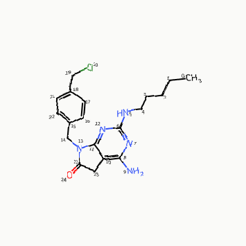 CCCCCNc1nc(N)c2c(n1)N(Cc1ccc(CCl)cc1)C(=O)C2